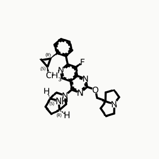 C[C@H]1C[C@H]1c1ccccc1-c1ncc2c(N3C[C@H]4CC[C@@H](C3)N4)nc(OCC34CCCN3CCC4)nc2c1F